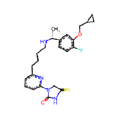 C[C@@H](NCCCCc1cccc(N2CC(=S)NC2=O)n1)c1ccc(F)c(OCC2CC2)c1